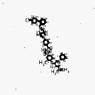 Cc1cc(S(=O)(=O)NC(=O)c2ccc(N3C[C@H]4CN(Cc5ccccc5-c5ccc(Cl)cc5)C[C@H]4C3)cc2)ccc1N[C@H](CCN(C)C)CSc1ccccc1